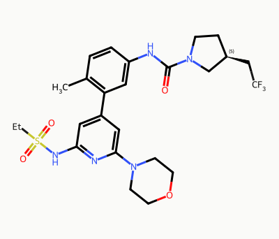 CCS(=O)(=O)Nc1cc(-c2cc(NC(=O)N3CC[C@@H](CC(F)(F)F)C3)ccc2C)cc(N2CCOCC2)n1